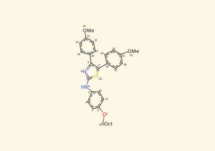 CCCCCCCCOc1ccc(Nc2nc(-c3ccc(OC)cc3)c(-c3ccc(OC)cc3)s2)cc1